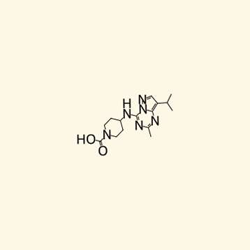 Cc1nc(NC2CCN(C(=O)O)CC2)n2ncc(C(C)C)c2n1